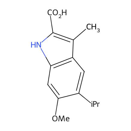 COc1cc2[nH]c(C(=O)O)c(C)c2cc1C(C)C